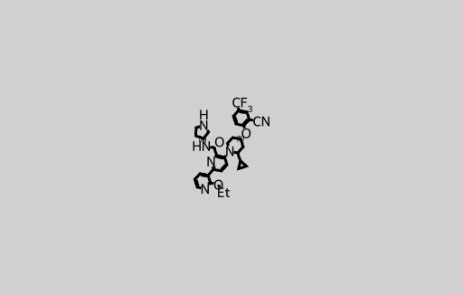 CCOc1ncccc1-c1ccc(N2CC[C@@H](Oc3ccc(C(F)(F)F)cc3C#N)CC2C2CC2)c(C(=O)N[C@@H]2CCNC2)n1